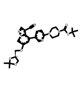 CC(C)(C)OC(=O)N1CCN(c2ccc(-c3cc(OC[C@H]4COC(C)(C)O4)cn4ncc(C#N)c34)cn2)CC1